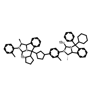 Cc1cc(C2CCC(C3(C4CCCC4)c4ccccc4C4[C@H](C)N(c5ccccc5C)C(C(C)(C)C)N43)C2)ccc1N1C(C(C)(C)C)N2C(c3ccccc3C2(c2ccccc2)C2CCCCC2)[C@@H]1C